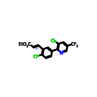 CCOC(=O)/C=C/c1cc(-c2ncc(C(F)(F)F)cc2Cl)ccc1Cl